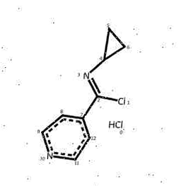 Cl.Cl/C(=N\C1CC1)c1ccncc1